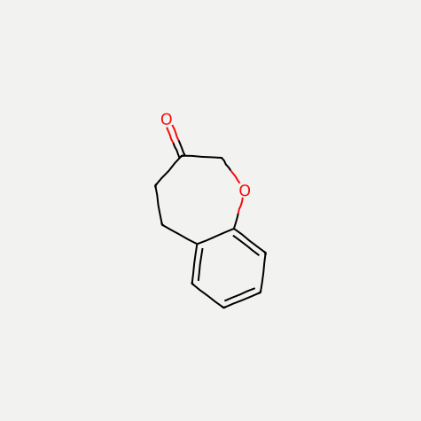 O=C1CCc2ccccc2OC1